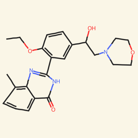 CCOc1ccc(C(O)CN2CCOCC2)cc1-c1nc2c(C)cccc2c(=O)[nH]1